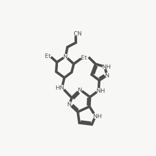 CCC1CC(Nc2nc(Nc3cc(C)[nH]n3)c3[nH]ccc3n2)CC(CC)N1CCC#N